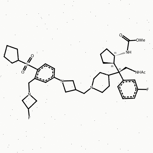 COC(=O)N[C@H]1CCC[C@@H]1[C@](CNC(C)=O)(c1cccc(F)c1)C1CCN(CC2CN(c3ccc(S(=O)(=O)C4CCCC4)c(CN4CC(F)C4)c3)C2)CC1